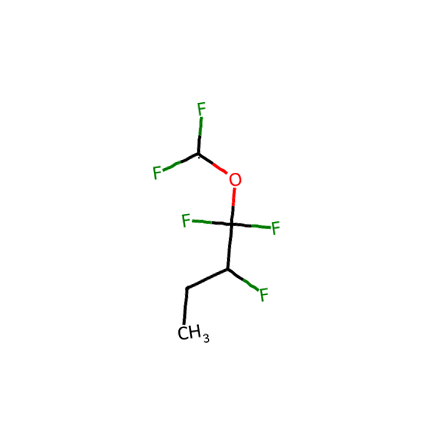 CCC(F)C(F)(F)O[C](F)F